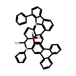 C=C(/C=C\C1C(C)N(c2ccccc2)c2cc3c4ccccc4c4ccccc4c3cc2C1(C)C)c1ccccc1-c1cccc2c1sc1c(-c3ccccc3)cccc12